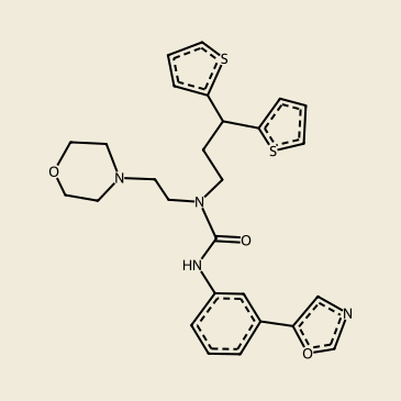 O=C(Nc1cccc(-c2cnco2)c1)N(CCC(c1cccs1)c1cccs1)CCN1CCOCC1